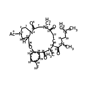 CC(=O)N1CCN2C(=O)CN(C)C(=O)CC[C@@H](C(=O)N(C)CCN(C)C)N(C)C(=O)c3cc(F)ccc3OC[C@@H]2C1